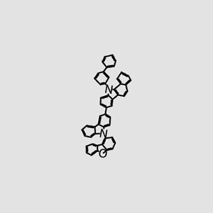 c1ccc(-c2cccc(-n3c4ccc(-c5ccc6c(c5)c5ccccc5n6-c5cccc6oc7ccccc7c56)cc4c4ccc5ccccc5c43)c2)cc1